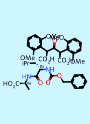 CC(C)C[C@H](NC(=O)OCc1ccccc1)C(=O)N[C@@H](C)C(=O)O.COc1cccc(OC)c1C(C(=O)O)C(=O)C(C(=O)O)c1c(OC)cccc1OC